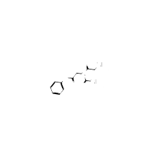 NCC(=O)N(CC(=O)Oc1ccccc1)C(N)=S